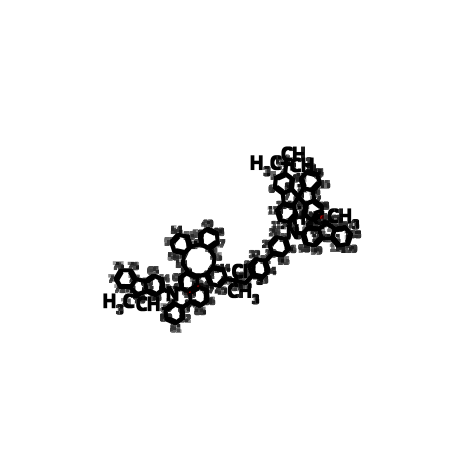 CC(C)(C)c1ccc2c(c1)C1(c3ccccc3-c3ccccc31)c1cc(N(c3ccc(-c4ccc(CC(C)(C)c5ccc6c(c5)Cc5ccccc5-c5ccccc5Cc5cc(N(c7ccc8c(c7)C(C)(C)c7ccccc7-8)c7ccccc7-c7ccccc7)ccc5-6)cc4)cc3)c3ccc4c(c3)C(C)(C)c3ccccc3-4)ccc1-2